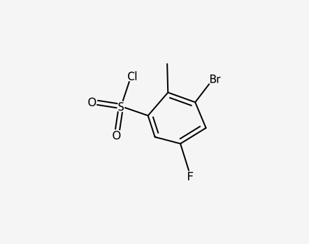 Cc1c(Br)cc(F)cc1S(=O)(=O)Cl